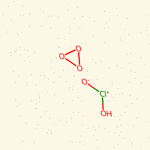 [O-][Cl+]O.o1oo1